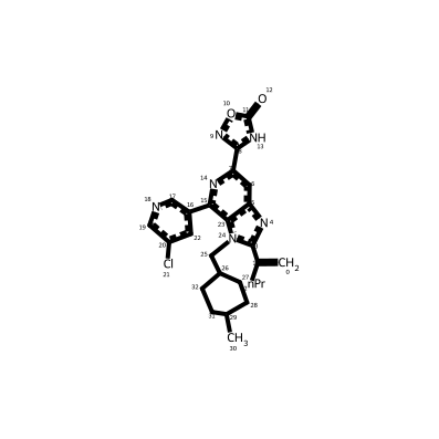 C=C(CCC)c1nc2cc(-c3noc(=O)[nH]3)nc(-c3cncc(Cl)c3)c2n1CC1CCC(C)CC1